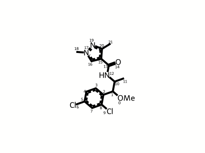 COC(c1ccc(Cl)cc1Cl)C(C)NC(=O)c1cn(C)nc1C